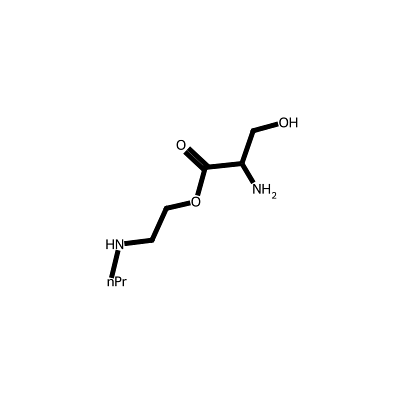 CCCNCCOC(=O)C(N)CO